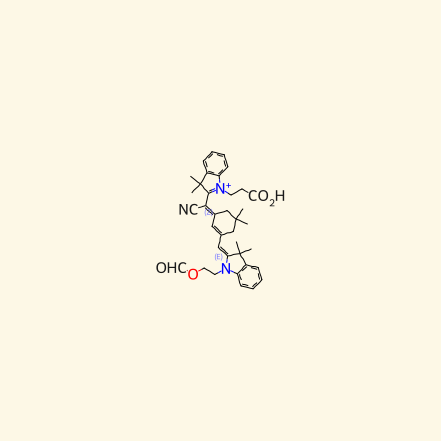 CC1(C)CC(/C=C2/N(CCOC=O)c3ccccc3C2(C)C)=CC(=C(\C#N)C2=[N+](CCC(=O)O)c3ccccc3C2(C)C)/C1